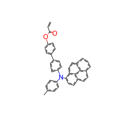 C=CC(=O)Oc1ccc(-c2ccc(N(c3ccc(C)cc3)c3ccc4ccc5cccc6ccc3c4c56)cc2)cc1